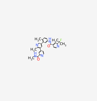 CNC(=O)c1cc(-c2cc(-c3cc(NC(=O)c4ccnc(C(C)(C)F)c4)ccc3C)cnc2C)ccn1